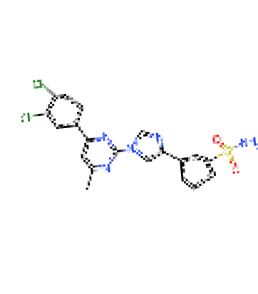 Cc1cc(-c2ccc(Cl)c(Cl)c2)nc(-n2cnc(-c3cccc(S(N)(=O)=O)c3)c2)n1